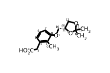 Cc1c(CC(=O)O)cccc1OC[C@@H]1COC(C)(C)O1